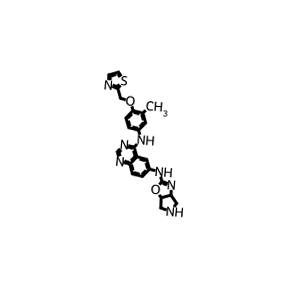 Cc1cc(Nc2ncnc3ccc(NC4=NC5CNCC5O4)cc23)ccc1OCc1nccs1